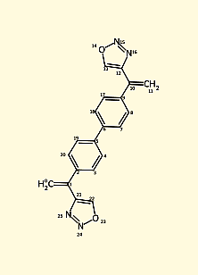 C=C(c1ccc(-c2ccc(C(=C)c3conn3)cc2)cc1)c1conn1